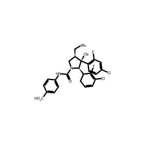 CC(C)(C)C[C@@H]1CN(C(=O)Nc2ccc(C(=O)O)cc2)[C@H](C2CC=CC(Cl)=C2F)[C@@]1(C#N)c1ccc(Cl)cc1F